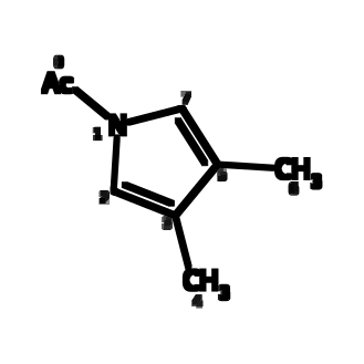 CC(=O)n1cc(C)c(C)c1